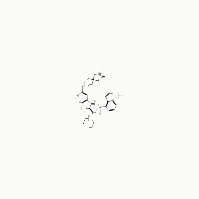 O=S1(=O)CC2(CN(Cc3cnc4oc5c(N6CCOCC6)nc(-c6cccc7[nH]ccc67)nc5c4c3)C2)C1